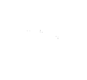 Cc1ccc(C(C)N2CCOCC2)nc1